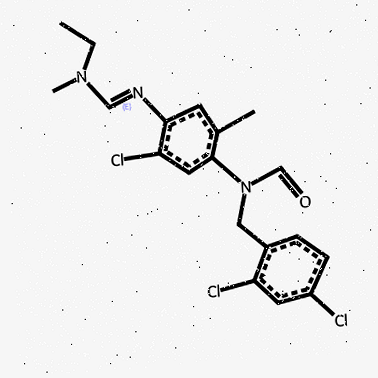 CCN(C)/C=N/c1cc(C)c(N(C=O)Cc2ccc(Cl)cc2Cl)cc1Cl